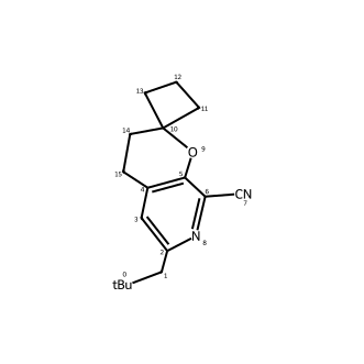 CC(C)(C)Cc1cc2c(c(C#N)n1)OC1(CCC1)CC2